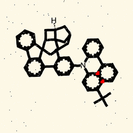 Cc1cc(N(c2ccc(C(C)(C)C)cc2)c2ccccc2-c2ccccc2)ccc1-c1cccc2c1C1(c3ccccc3-2)C2CC3C[C@@H]4CC1C4(C3)C2